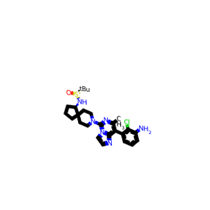 Cc1nc(N2CCC3(CCC[C@H]3N[S@+]([O-])C(C)(C)C)CC2)n2ccnc2c1-c1cccc(N)c1Cl